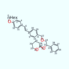 CCCCCCOc1ccc(C=Cc2ccc(COCC(O[C@@H]3CCCCO3)c3ccccc3)cc2)cc1